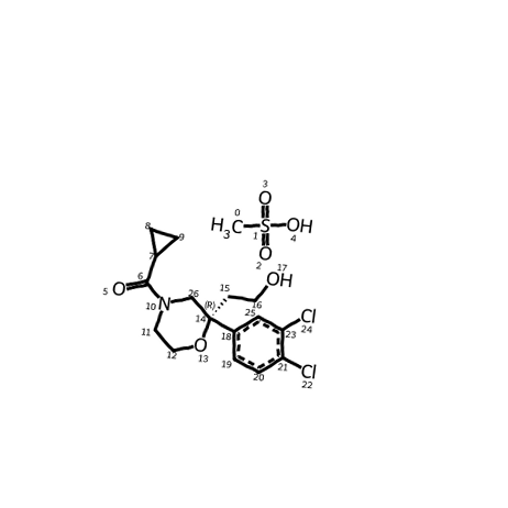 CS(=O)(=O)O.O=C(C1CC1)N1CCO[C@](CCO)(c2ccc(Cl)c(Cl)c2)C1